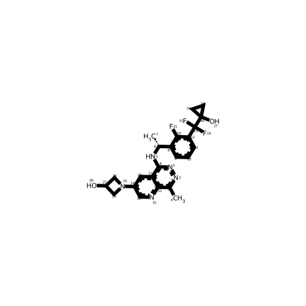 Cc1nnc(N[C@H](C)c2cccc(C(F)(F)C3(O)CC3)c2F)c2cc(N3CC(O)C3)cnc12